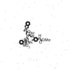 COC(=O)Nc1ccc(C)c(NCC(=O)N(CCN(C(C)C)S(=O)(=O)c2ccccc2[N+](=O)[O-])CC(=O)N(C)N2Cc3ccccc3C2)c1